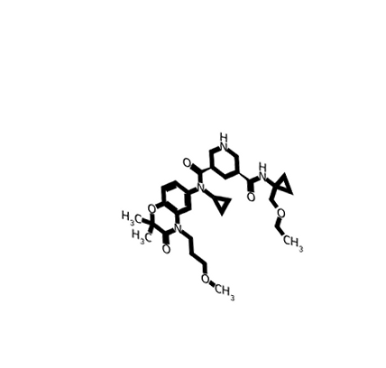 CCOCC1(NC(=O)[C@@H]2CNC[C@H](C(=O)N(c3ccc4c(c3)N(CCCOC)C(=O)C(C)(C)O4)C3CC3)C2)CC1